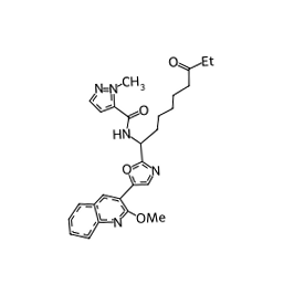 CCC(=O)CCCCCC(NC(=O)c1ccnn1C)c1ncc(-c2cc3ccccc3nc2OC)o1